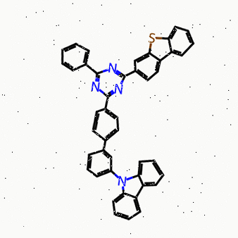 c1ccc(-c2nc(-c3ccc(-c4cccc(-n5c6ccccc6c6ccccc65)c4)cc3)nc(-c3ccc4c(c3)sc3ccccc34)n2)cc1